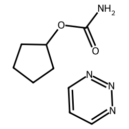 NC(=O)OC1CCCC1.c1cnnnc1